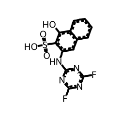 O=S(=O)(O)c1c(Nc2nc(F)nc(F)n2)cc2ccccc2c1O